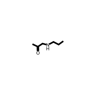 CCCNCC(C)=O